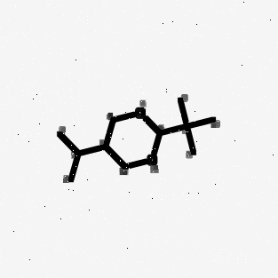 CC(C)C1COC(C(C)(C)C)OC1